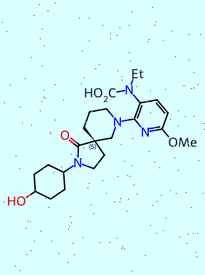 CCN(C(=O)O)c1ccc(OC)nc1N1CCC[C@]2(CCN(C3CCC(O)CC3)C2=O)C1